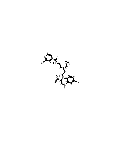 CCN(CCNC(=O)c1ccnc(F)c1)CCN1C(C(N)=O)=CNc2cc(I)ccc21